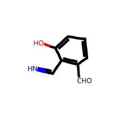 N=Cc1c(O)cccc1C=O